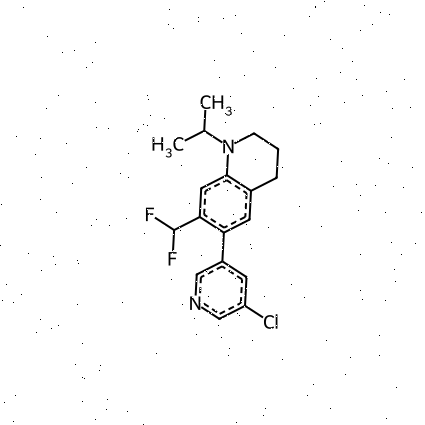 CC(C)N1CCCc2cc(-c3cncc(Cl)c3)c(C(F)F)cc21